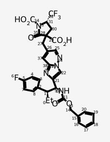 CC[C@@H](c1ccc(F)cc1)[C@H](NC(=O)OCc1ccccc1)c1cn2ncc(CC3(C(=O)O)C[C@@H](C(F)(F)F)N(C(=O)O)C3=O)cc2n1